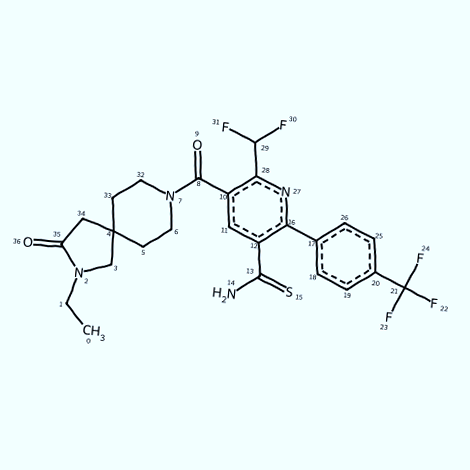 CCN1CC2(CCN(C(=O)c3cc(C(N)=S)c(-c4ccc(C(F)(F)F)cc4)nc3C(F)F)CC2)CC1=O